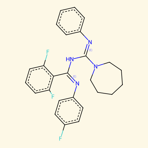 Fc1ccc(/N=C(/N/C(=N\c2ccccc2)N2CCCCCC2)c2c(F)cccc2F)cc1